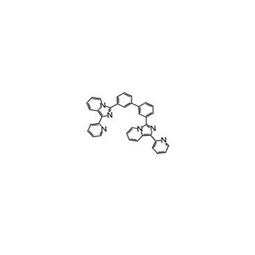 c1ccc(-c2nc(-c3cccc(-c4cccc(-c5nc(-c6ccccn6)c6ccccn56)c4)c3)n3ccccc23)nc1